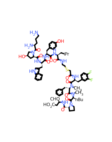 CCCC[C@@H](C(=O)N1CCC[C@@H]1C(=O)N[C@H](C=O)CC(=O)O)N(C)C(=O)[C@H](Cc1ccccc1)N(C)C(=O)[C@H](Cc1ccc(F)c(F)c1)NC(=O)CSCCNC(=O)[C@H](CC(C)C)NC(=O)[C@H](Cc1ccc(O)cc1)NC(=O)[C@H](Cc1c[nH]c2ccccc12)NC(=O)[C@H]1C[C@@H](O)CN1C(=O)[C@@H](N)CCCN